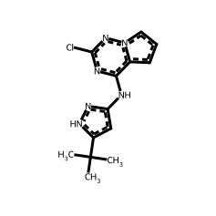 CC(C)(C)c1cc(Nc2nc(Cl)nn3cccc23)n[nH]1